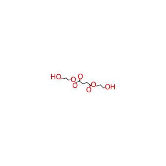 O=C(CCC(=O)C(=O)OCCCO)OCCCO